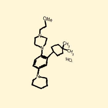 COCCN1CCN(c2ccc(N3CCCCC3)cc2C2CCC(C)(C)CC2)CC1.Cl